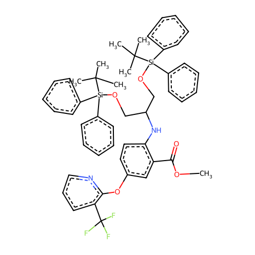 COC(=O)c1cc(Oc2ncccc2C(F)(F)F)ccc1NC(CO[Si](c1ccccc1)(c1ccccc1)C(C)(C)C)CO[Si](c1ccccc1)(c1ccccc1)C(C)(C)C